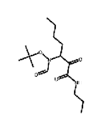 CCCCC(C(=O)C(=O)NCCC)N(C=O)OC(C)(C)C